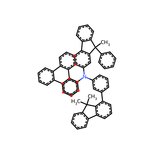 CC1(C)c2ccccc2-c2cccc(-c3cccc(N(c4ccc5c(c4)C(C)(c4ccccc4)c4ccccc4-5)c4ccccc4-c4ccccc4-c4ccccc4-c4ccccc4)c3)c21